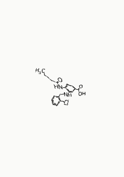 CCCCC(=O)Nc1ccc(C(=O)O)cc1NCc1ccccc1Cl